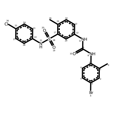 Cc1cc(Br)ccc1NC(=O)Nc1ccc(C)c(S(=O)(=O)Nc2ccc(Cl)cc2)c1